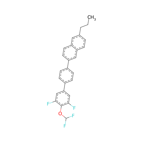 CCCc1ccc2cc(-c3ccc(-c4cc(F)c(OC(F)F)c(F)c4)cc3)ccc2c1